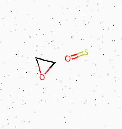 C1CO1.O=S